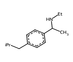 CCNC(C)c1ccc(CC(C)C)cc1